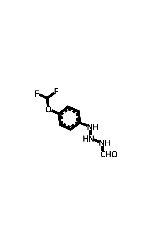 O=CNNNc1ccc(OC(F)F)cc1